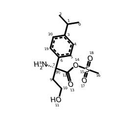 CC(C)c1ccc([C@](N)(CCO)C(=O)OS(C)(=O)=O)cc1